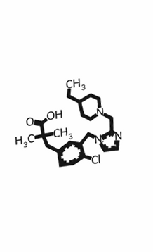 CCC1CCN(Cc2nccn2Cc2cc(CC(C)(C)C(=O)O)ccc2Cl)CC1